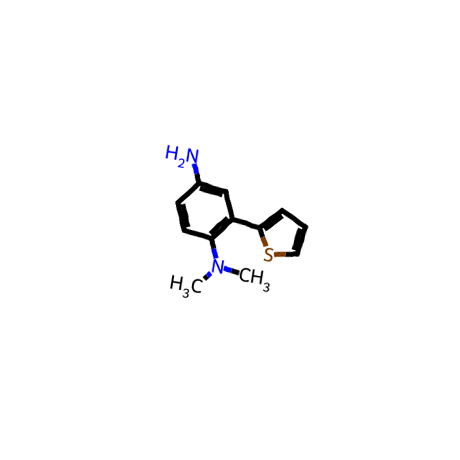 CN(C)c1ccc(N)cc1-c1cccs1